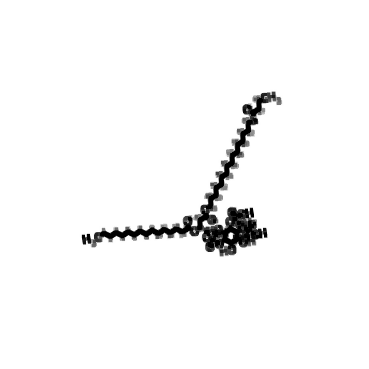 CCCCCCCCCCCCCCCC(=O)O[C@@H](COP(=O)(O)OC1C(O)[C@H](OP(=O)(O)O)C(OP(=O)(O)O)[C@H](O)[C@@H]1O)CC(=O)OCCCCCCCCCCCCCCCCSC(=O)CCC